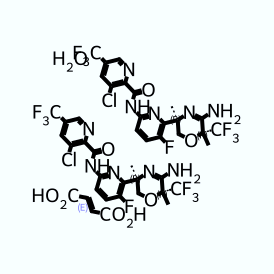 C[C@@]1(c2nc(NC(=O)c3ncc(C(F)(F)F)cc3Cl)ccc2F)CO[C@@](C)(C(F)(F)F)C(N)=N1.C[C@@]1(c2nc(NC(=O)c3ncc(C(F)(F)F)cc3Cl)ccc2F)CO[C@@](C)(C(F)(F)F)C(N)=N1.O.O=C(O)/C=C/C(=O)O